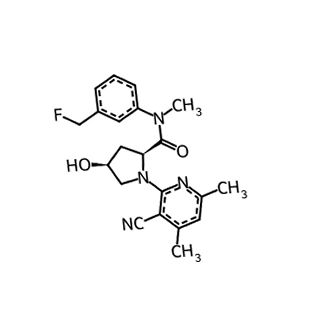 Cc1cc(C)c(C#N)c(N2C[C@@H](O)C[C@H]2C(=O)N(C)c2cccc(CF)c2)n1